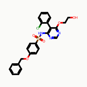 O=S(=O)(Nc1ncnc(OCCO)c1-c1ccccc1Cl)c1ccc(OCc2ccccc2)cc1